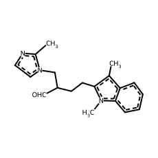 Cc1c(CCC(C=O)Cn2ccnc2C)n(C)c2ccccc12